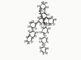 c1ccc(-c2ccc(-c3ccc(N(c4cccc(-c5cccc(-c6ccc7ccccc7c6)c5)c4)c4ccccc4-c4ccc5sc6ccccc6c5c4)cc3)cc2)cc1